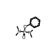 CN(C)P(=O)(Oc1ccccc1)N(C)C